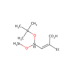 CCC(=C[SiH](O[SiH3])O[Si](C)(C)C)C(=O)O